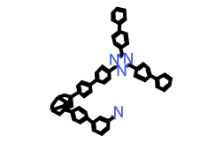 N#Cc1cccc(-c2ccc(C34CC5CC(CC(c6ccc(-c7ccc(-c8nc(-c9ccc(-c%10ccccc%10)cc9)nc(-c9ccc(-c%10ccccc%10)cc9)n8)cc7)cc6)(C5)C3)C4)cc2)c1